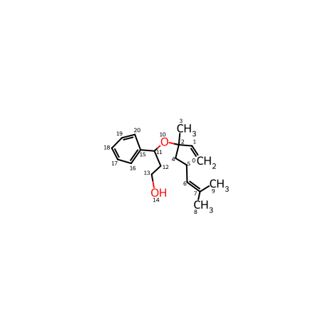 C=CC(C)(CCC=C(C)C)OC(CCO)c1ccccc1